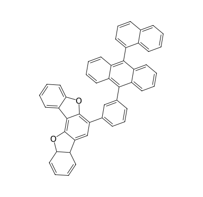 C1=CC2Oc3c(cc(-c4cccc(-c5c6ccccc6c(-c6cccc7ccccc67)c6ccccc56)c4)c4oc5ccccc5c34)C2C=C1